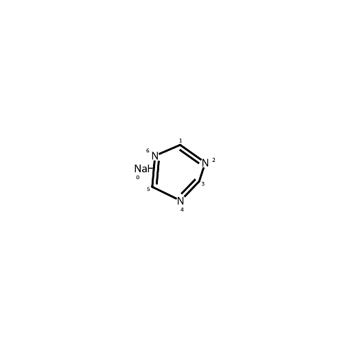 [NaH].c1ncncn1